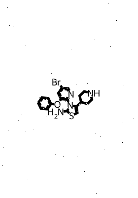 NC1SC=C(C2CCNCC2)N1c1ncc(Br)cc1Oc1ccccc1